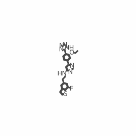 CCOc1cc(-c2cc(NCCc3cc(F)c4sccc4c3)ncn2)ccc1-c1nnn[nH]1